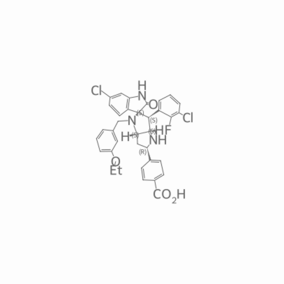 CCOc1cccc(CN2[C@H]3C[C@H](c4ccc(C(=O)O)cc4)N[C@H]3[C@H](c3cccc(Cl)c3F)[C@]23C(=O)Nc2cc(Cl)ccc23)c1